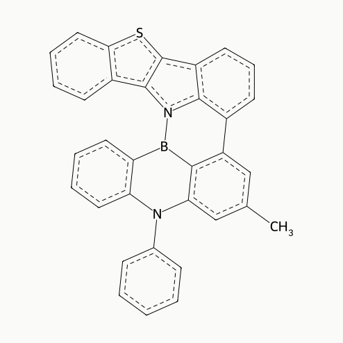 Cc1cc2c3c(c1)N(c1ccccc1)c1ccccc1B3n1c3c-2cccc3c2sc3ccccc3c21